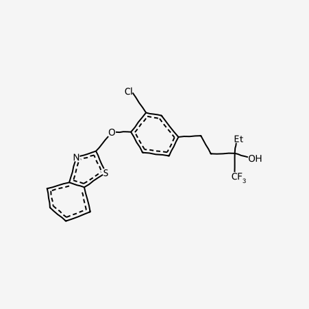 CCC(O)(CCc1ccc(Oc2nc3ccccc3s2)c(Cl)c1)C(F)(F)F